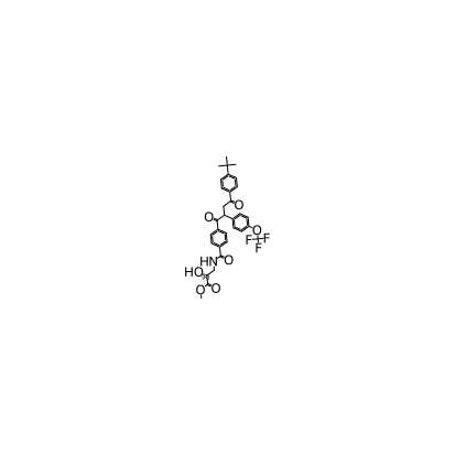 COC(=O)[C@H](O)CNC(=O)c1ccc(C(=O)C(CC(=O)c2ccc(C(C)(C)C)cc2)c2ccc(OC(F)(F)F)cc2)cc1